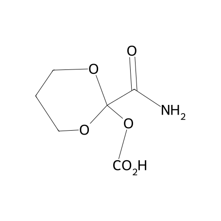 NC(=O)C1(OC(=O)O)OCCCO1